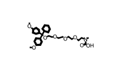 COc1ccc(C(OCCOCCOCCOCCN(C)C(=O)O)(c2ccccc2)c2ccc(OC)cc2)cc1